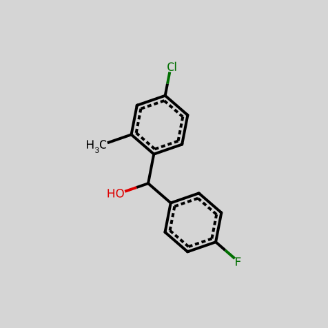 Cc1cc(Cl)ccc1C(O)c1ccc(F)cc1